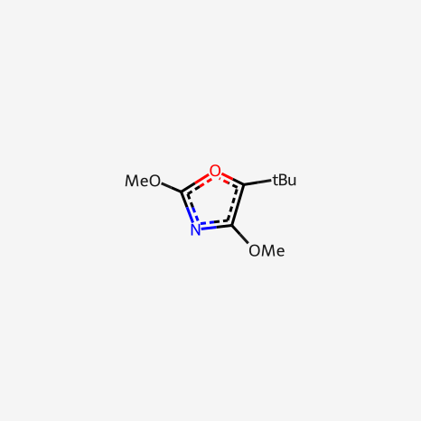 COc1nc(OC)c(C(C)(C)C)o1